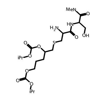 CNC(=O)C(CO)NC(=O)C(N)CSCC(CCCOC(=O)OC(C)C)OC(=O)OC(C)C